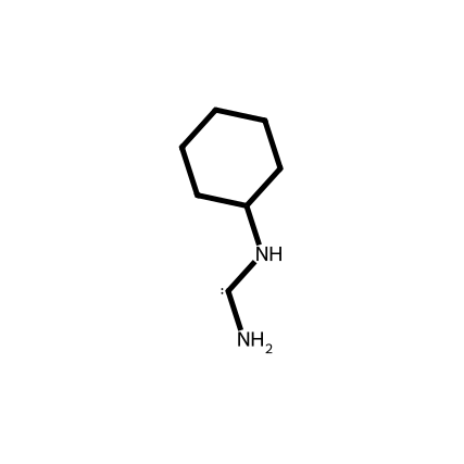 N[C]NC1CCCCC1